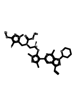 C=Cc1nn(C2CCCCO2)c2c(C)nc(-c3c(C)nn(C)c3O[C@@H](C)CN(Cc3c(I)c(OCC)nn3C)C(=O)OC(C)(C)C)cc12